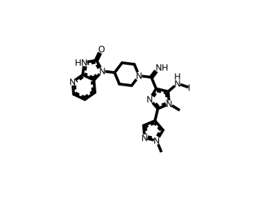 Cn1cc(-c2nc(C(=N)N3CCC(n4c(=O)[nH]c5ncccc54)CC3)c(NI)n2C)cn1